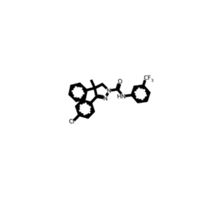 CC1(c2ccccc2)CN(C(=O)Nc2cccc(C(F)(F)F)c2)N=C1c1ccc(Cl)cc1